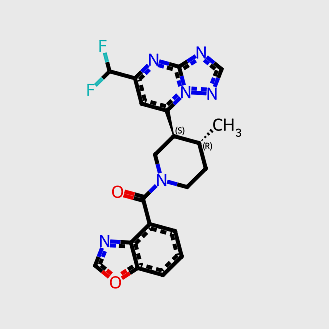 C[C@@H]1CCN(C(=O)c2cccc3ocnc23)C[C@H]1c1cc(C(F)F)nc2ncnn12